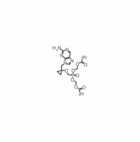 CC(C)C(=O)OCOP(=O)(COC1(Cn2cnc3cnc(N)nc32)CC1)OCOC(=O)C(C)C